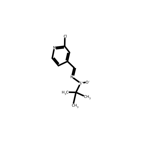 CC(C)(C)[S+]([O-])/N=C/c1ccnc(Cl)c1